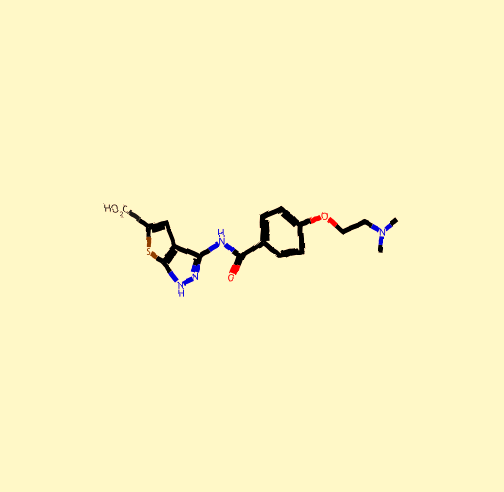 CN(C)CCOc1ccc(C(=O)Nc2n[nH]c3sc(C(=O)O)cc23)cc1